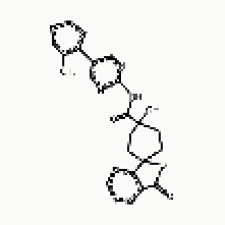 Cc1ccccc1-c1cnc(NC(=O)C2(O)CCC3(CC2)OC(=O)c2cnccc23)nc1